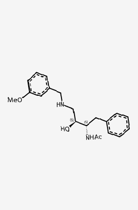 COc1cccc(CNC[C@H](O)[C@H](Cc2ccccc2)NC(C)=O)c1